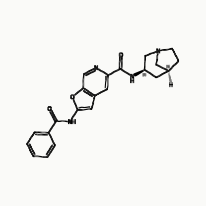 O=C(Nc1cc2cc(C(=O)N[C@@H]3C[C@@H]4CCN(C4)C3)ncc2o1)c1ccccc1